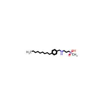 CCCCCCCCCc1ccc(CNCCCP(C)(=O)O)cc1